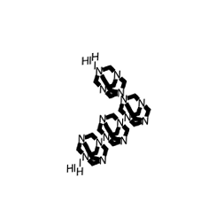 C1N2CN3CN1CN(C2)C3.C1N2CN3CN1CN(C2)C3.C1N2CN3CN1CN(C2)C3.C1N2CN3CN1CN(C2)C3.I.I.I.I